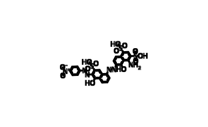 Nc1c(S(=O)(=O)O)cc(S(=O)(=O)O)c2ccc(N=Nc3cccc4c(O)c(N=Nc5ccc([N+](=O)[O-])cc5)c(S(=O)(=O)O)cc34)c(O)c12